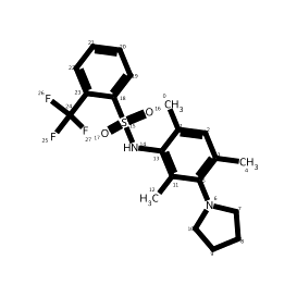 Cc1cc(C)c(N2CCCC2)c(C)c1NS(=O)(=O)c1ccccc1C(F)(F)F